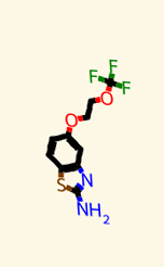 Nc1nc2cc(OCCOC(F)(F)F)ccc2s1